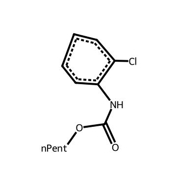 CCCCCOC(=O)Nc1ccccc1Cl